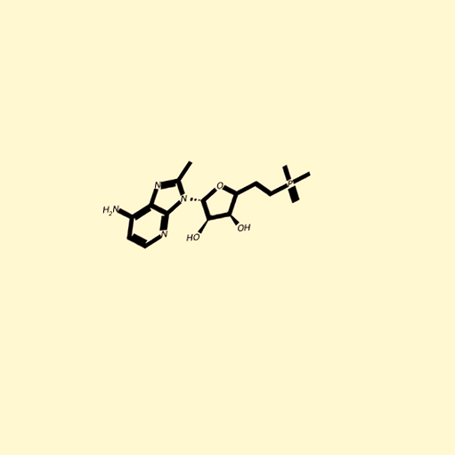 C=P(C)(C)CCC1O[C@@H](n2c(C)nc3c(N)ccnc32)[C@H](O)[C@@H]1O